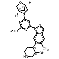 COc1nc(N2C[C@H]3C[C@@H]2CO3)cc(-n2ncc3cc(C)c([C@@H]4CCNC[C@@H]4O)cc32)n1